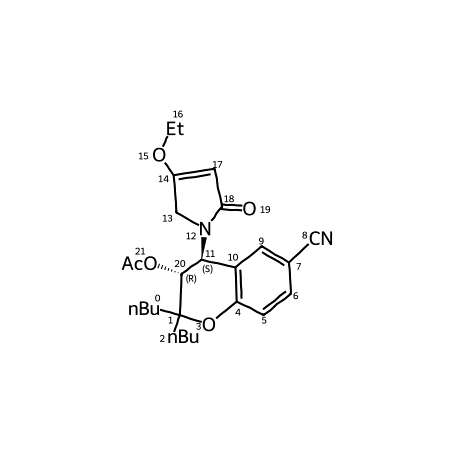 CCCCC1(CCCC)Oc2ccc(C#N)cc2[C@H](N2CC(OCC)=CC2=O)[C@H]1OC(C)=O